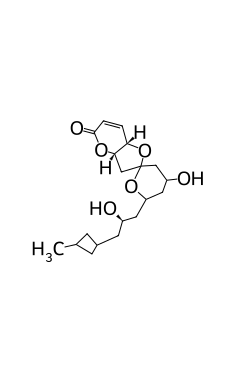 CC1CC(C[C@@H](O)CC2CC(O)CC3(C[C@@H]4OC(=O)C=C[C@@H]4O3)O2)C1